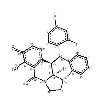 Cc1cc(F)ccc1[C@H](c1ccccc1F)[C@H]1[C@H]2CCCN2C(=O)c2c(O)c(=O)cnn21